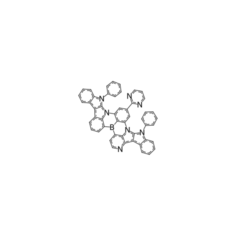 c1ccc(-n2c3ccccc3c3c4cccc5c4n(c32)-c2cc(-c3ncccn3)cc3c2B5c2ccnc4c5c6ccccc6n(-c6ccccc6)c5n-3c24)cc1